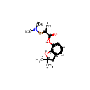 CCCCN(CCCC)SC(C)C(=O)Oc1cccc2c1OC(C)(C)C2